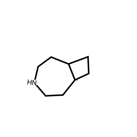 C1C[C]2CCC2CCN1